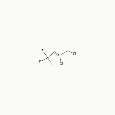 FC(F)(F)C=C(Cl)CCl